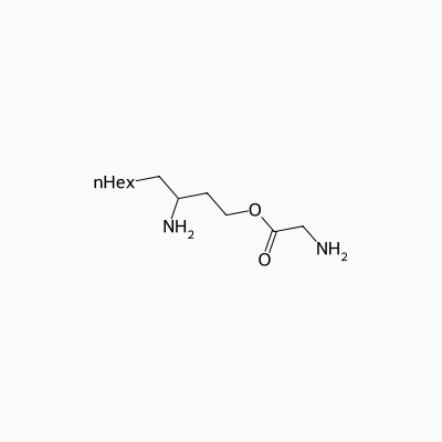 CCCCCCCC(N)CCOC(=O)CN